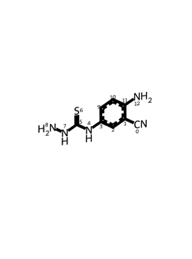 N#Cc1cc(NC(=S)NN)ccc1N